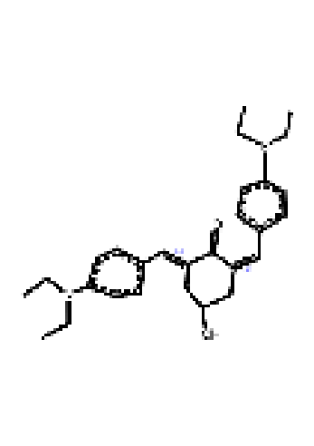 CCN(CC)c1ccc(/C=C2/CC(O)C/C(=C\c3ccc(N(CC)CC)cc3)C2=O)cc1